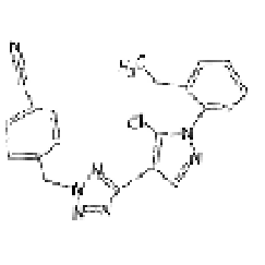 CCc1ccccc1-n1ncc(-c2nnn(Cc3ccc(C#N)cc3)n2)c1Cl